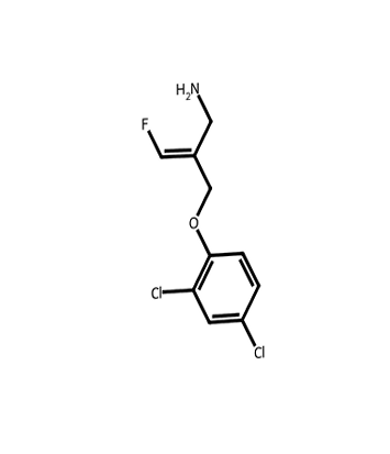 NCC(=CF)COc1ccc(Cl)cc1Cl